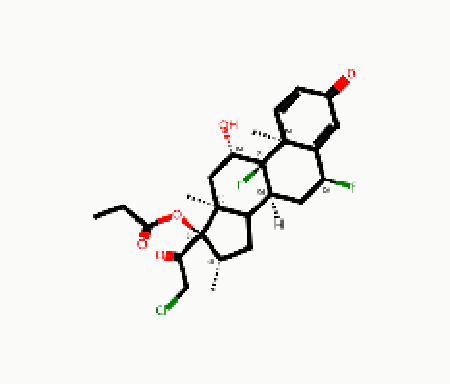 CCC(=O)O[C@]1(C(=O)CCl)[C@@H](C)CC2[C@@H]3C[C@H](F)C4=CC(=O)C=C[C@]4(C)[C@@]3(F)[C@@H](O)C[C@@]21C